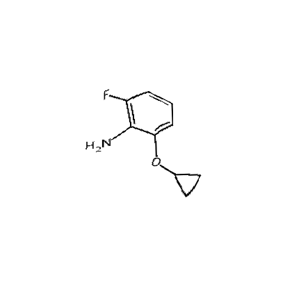 Nc1c(F)cccc1OC1CC1